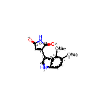 COc1ccc2[nH]cc(C3=CC(=O)NC3=O)c2c1OC